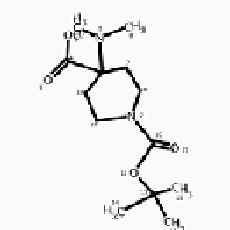 CN(C)C1(C(=O)O)CCN(C(=O)OC(C)(C)C)CC1